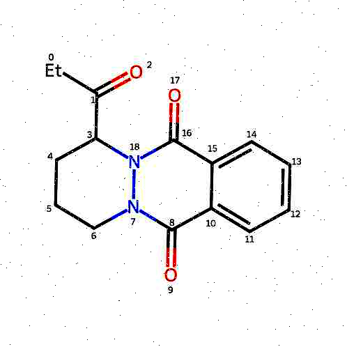 CCC(=O)C1CCCn2c(=O)c3ccccc3c(=O)n21